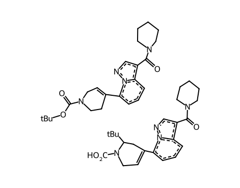 CC(C)(C)C1CC(c2cccc3c(C(=O)N4CCCCC4)cnn23)=CCN1C(=O)O.CC(C)(C)OC(=O)N1CC=C(c2cccc3c(C(=O)N4CCCCC4)cnn23)CC1